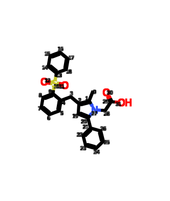 Cc1c(Cc2ccccc2S(=O)(=O)c2ccccc2)cc(-c2ccccc2)n1CC(=O)O